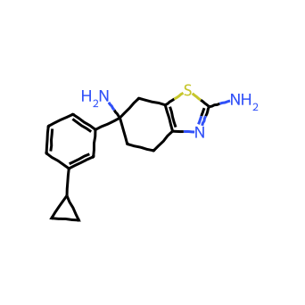 Nc1nc2c(s1)CC(N)(c1cccc(C3CC3)c1)CC2